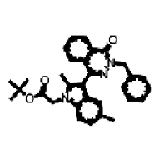 Cc1ccc2c(c1)c(-c1nn(Cc3ccccc3)c(=O)c3ccccc13)c(C)n2CC(=O)OC(C)(C)C